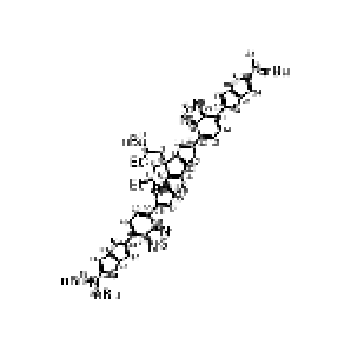 CCCCC(CC)CC1(CC(CC)CCCC)c2cc(-c3ccc(-c4cc5sc(N(C)CCCC)cc5s4)c4nsnc34)sc2-c2sc3cc(-c4ccc(-c5cc6sc(N(CCCC)CCCC)cc6s5)c5nsnc45)sc3c21